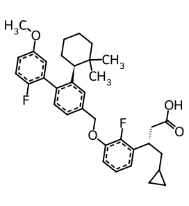 COc1ccc(F)c(-c2ccc(COc3cccc([C@H](CC(=O)O)CC4CC4)c3F)cc2[C@H]2CCCCC2(C)C)c1